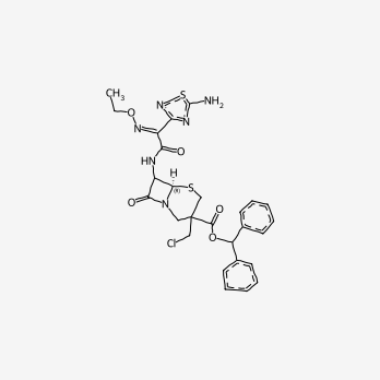 CCON=C(C(=O)NC1C(=O)N2CC(CCl)(C(=O)OC(c3ccccc3)c3ccccc3)CS[C@H]12)c1nsc(N)n1